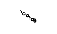 CCC[C@H]1CC[C@H](c2ccc(COc3ccc(S(F)(F)(F)(F)F)cc3)cc2)CC1